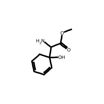 COC(=O)C(N)C1(O)C=CC=CC1